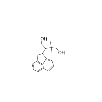 CC(C)(CO)C(CO)C1Cc2cccc3cccc1c23